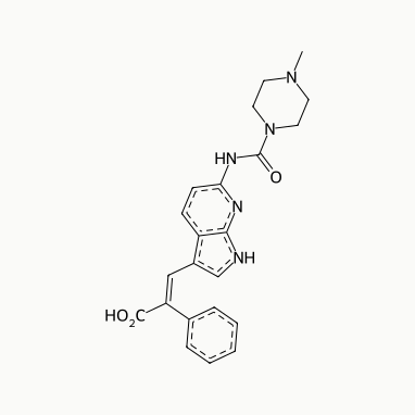 CN1CCN(C(=O)Nc2ccc3c(/C=C(/C(=O)O)c4ccccc4)c[nH]c3n2)CC1